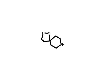 C1CC2(CCPCC2)OO1